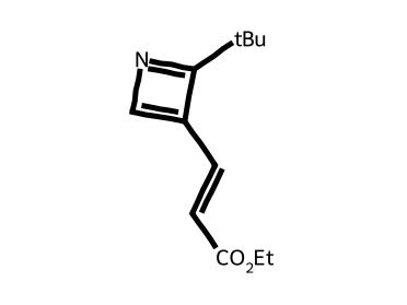 CCOC(=O)C=CC1=CN=C1C(C)(C)C